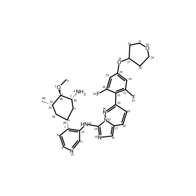 CO[C@H]1[C@H](N)C[C@H](c2ccncc2Nc2ncc3ccc(-c4c(F)cc(OC5CCOCC5)cc4F)nn23)C[C@@H]1C